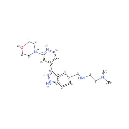 CCN(CC)CCNCc1ccc2[nH]nc(-c3ccnc(N4CCOCC4)c3)c2c1